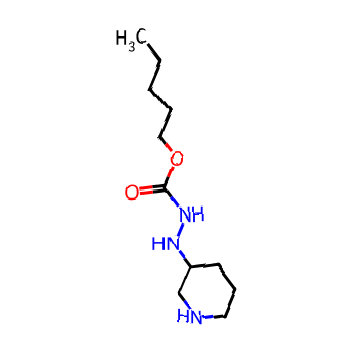 CCCCCOC(=O)NNC1CCCNC1